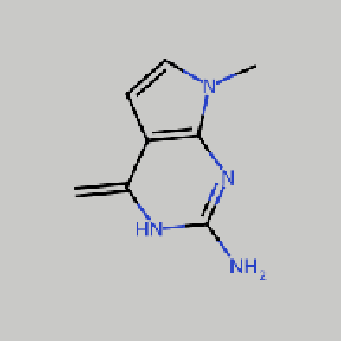 C=C1NC(N)=Nc2c1ccn2C